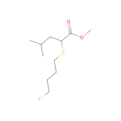 COC(=O)C(CC(C)C)SCCCCF